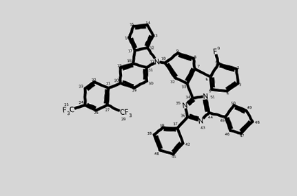 Fc1ccccc1-c1ccc(-n2c3ccccc3c3cc(-c4ccc(C(F)(F)F)cc4C(F)(F)F)ccc32)cc1-c1nc(-c2ccccc2)nc(-c2ccccc2)n1